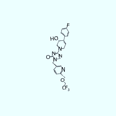 O=c1nc(N2CC=C(c3ccc(F)cc3)[C@@H](O)C2)ncn1Cc1ccc(COCC(F)(F)F)nc1